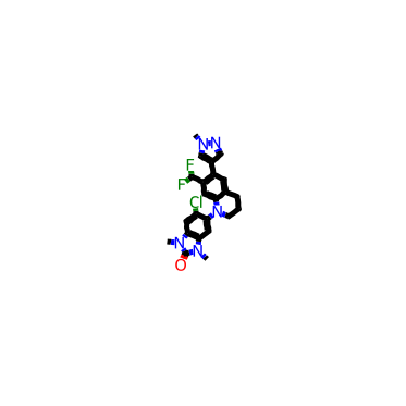 Cn1cc(-c2cc3c(cc2C(F)F)N(c2cc4c(cc2Cl)n(C)c(=O)n4C)CCC3)cn1